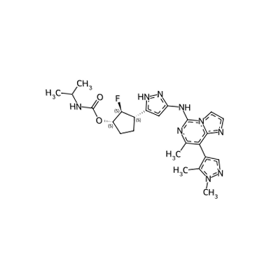 Cc1nc(Nc2cc([C@@H]3CC[C@H](OC(=O)NC(C)C)[C@H]3F)[nH]n2)n2ccnc2c1-c1cnn(C)c1C